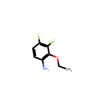 CCOc1c(N)ccc(F)c1F